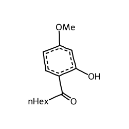 CCCCCCC(=O)c1ccc(OC)cc1O